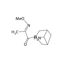 CON=C(C)C(=O)N1CC2CC(C1)C2N